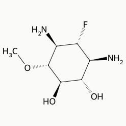 CO[C@@H]1[C@@H](N)[C@H](F)[C@@H](N)[C@H](O)[C@H]1O